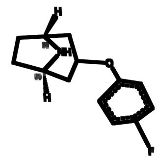 Fc1ccc(OC2C[C@H]3CC[C@H](C2)N3)cc1